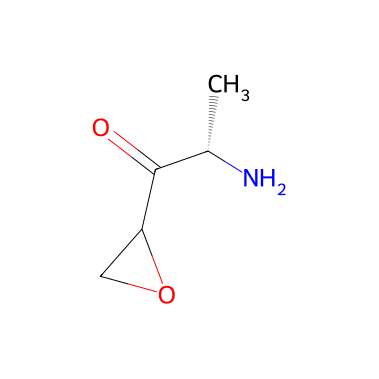 C[C@H](N)C(=O)C1CO1